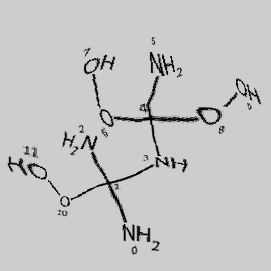 NC(N)(NC(N)(OO)OO)OO